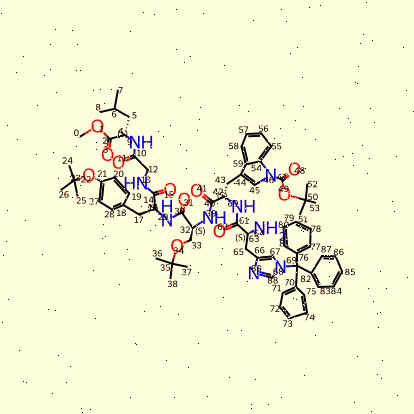 COC(=O)[C@H](CC(C)C)NC(=O)CNC(=O)[C@H](Cc1ccc(OC(C)(C)C)cc1)NC(=O)[C@H](COC(C)(C)C)NC(=O)[C@H](Cc1cn(C(=O)OC(C)(C)C)c2ccccc12)NC(=O)[C@@H](N)Cc1cn(C(c2ccccc2)(c2ccccc2)c2ccccc2)cn1